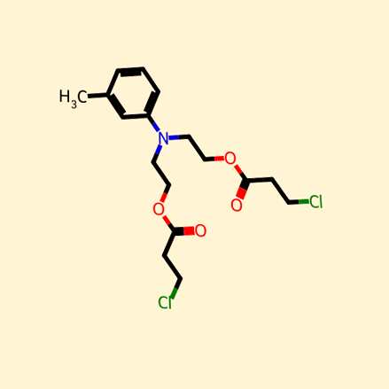 Cc1cccc(N(CCOC(=O)CCCl)CCOC(=O)CCCl)c1